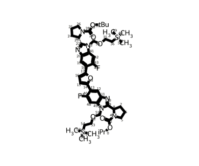 CC(C)OC(=O)N1CCCC1c1nc2cc(-c3ccc(-c4cc5nc([C@@H]6CCCN6C(=O)OC(C)(C)C)n(COCC[Si](C)(C)C)c5cc4F)o3)c(F)cc2n1COCC[Si](C)(C)C